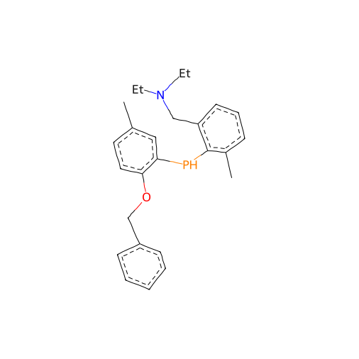 CCN(CC)Cc1cccc(C)c1Pc1cc(C)ccc1OCc1ccccc1